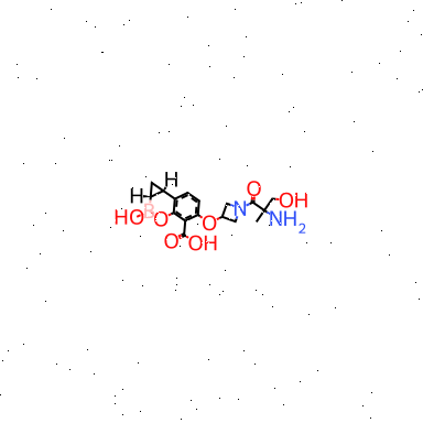 CC(N)(CO)C(=O)N1CC(Oc2ccc3c(c2C(=O)O)OB(O)[C@@H]2C[C@H]32)C1